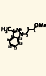 COCCCn1nc(C)c2ccccc21